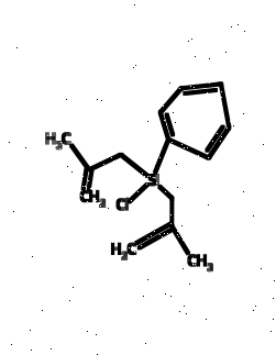 C=C(C)C[Si](Cl)(CC(=C)C)c1ccccc1